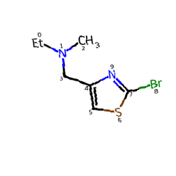 CCN(C)Cc1csc(Br)n1